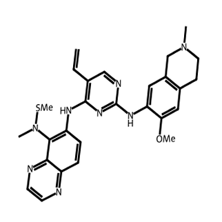 C=Cc1cnc(Nc2cc3c(cc2OC)CCN(C)C3)nc1Nc1ccc2nccnc2c1N(C)SC